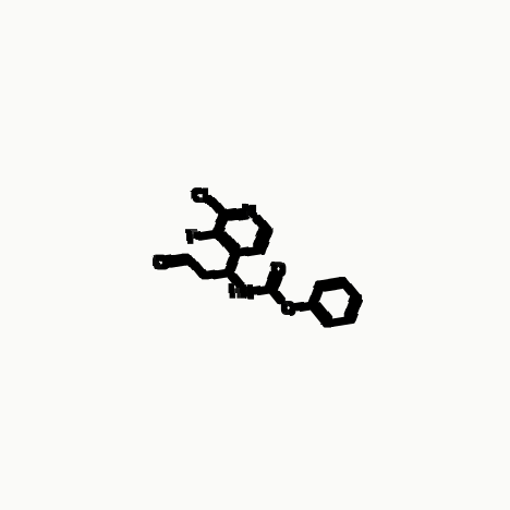 O=CCC(NC(=O)Oc1ccccc1)c1ccnc(Cl)c1F